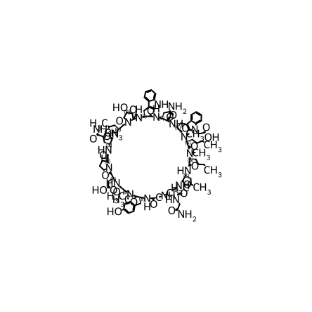 CCCC[C@H]1C(=O)N(C)[C@@H](CCCC)C(=O)N[C@@H](CC(C)C)C(=O)N[C@H](C(=O)NCC(N)=O)CNCC(=O)N[C@@H](Cc2ccc(O)cc2)C(=O)N(C)[C@@H](C)C(=O)N[C@@H](CC(=O)O)C(=O)N2CCC[C@H]2C(=O)N[C@@H](CCC(N)=O)C(=O)N[C@@H](CC(C)C)C(=O)N2C[C@H](O)CC2(C=O)N[C@@H](Cc2c[nH]c3ccccc23)C(=O)N[C@@H](CC(N)=O)C(=O)N[C@@H](Cc2cn(CC(=O)O)c3ccccc23)C(=O)N1C